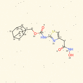 O=C(Cc1csc(NC(=O)OCC23CC4CC(CC2C4)C3)n1)NO